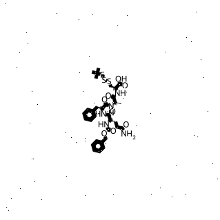 C[C@H](NC(=O)[C@H](Cc1ccccc1)NC(=O)[C@H](CCC(N)=O)NC(=O)OCc1ccccc1)C(=O)N[C@@H](CSSSC(C)(C)C)C(=O)O